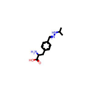 CC(C)N/N=C/c1ccc(CC(N)C(=O)O)cc1